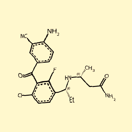 CC[C@@H](N[C@H](C)CC(N)=O)c1ccc(Cl)c(C(=O)c2ccc(N)c(C#N)c2)c1F